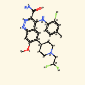 COc1cc2nnc(C(N)=O)c(Nc3ccc(C)cc3F)c2cc1C1CCN(CC(F)F)CC1